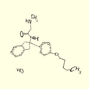 CCCCOc1ccc(C2(NC(=O)CNC)Cc3ccccc3C2)cc1.Cl